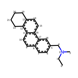 CCN(C)Cc1ccc2ccc3c4c(ccc3c2c1)CCCC4